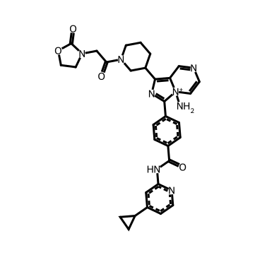 N[N+]12C=CN=CC1=C(C1CCCN(C(=O)CN3CCOC3=O)C1)N=C2c1ccc(C(=O)Nc2cc(C3CC3)ccn2)cc1